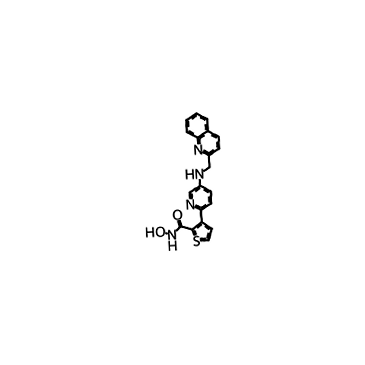 O=C(NO)c1sccc1-c1ccc(NCc2ccc3ccccc3n2)cn1